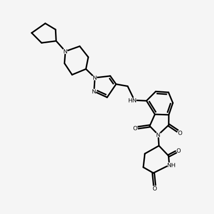 O=C1CCC(N2C(=O)c3cccc(NCc4cnn(C5CCN(C6CCCC6)CC5)c4)c3C2=O)C(=O)N1